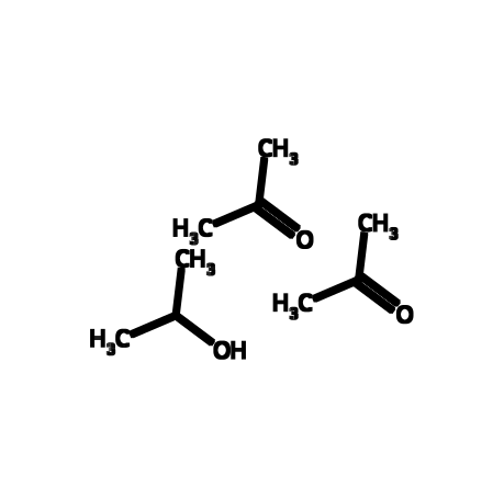 CC(C)=O.CC(C)=O.CC(C)O